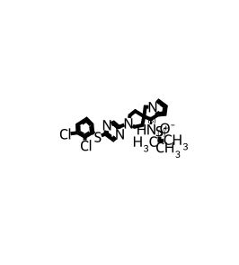 CC(C)(C)[S@@+]([O-])N[C@@H]1c2cccn2CC12CCN(c1cnc(Sc3cccc(Cl)c3Cl)cn1)CC2